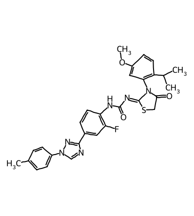 COc1ccc(C(C)C)c(N2C(=O)CSC2=NC(=O)Nc2ccc(-c3ncn(-c4ccc(C)cc4)n3)cc2F)c1